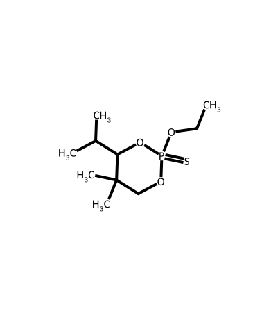 CCOP1(=S)OCC(C)(C)C(C(C)C)O1